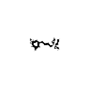 CC[Si](CCCCc1cc(F)cc(F)c1)(OC)OC